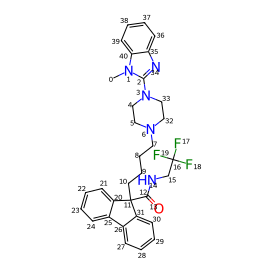 Cn1c(N2CCN(CCCCC3(C(=O)NCC(F)(F)F)c4ccccc4-c4ccccc43)CC2)nc2ccccc21